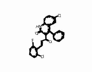 O=C(C=Cc1c(F)cccc1Cl)c1c(-c2ccccc2)c2cc(Cl)ccc2[nH]c1=O